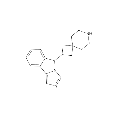 c1ccc2c(c1)-c1cncn1C2C1CC2(CCNCC2)C1